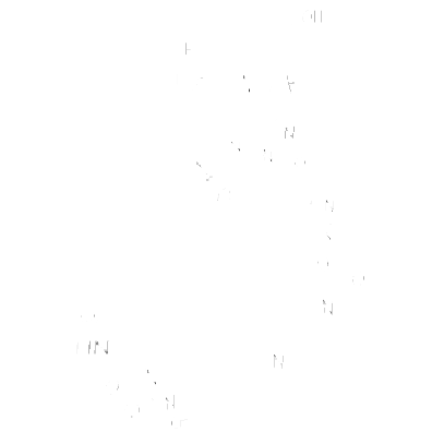 CCc1c(F)ccc2cc(O)cc(-c3ncc4c(N5CCC[C@@]6(CCO6)C5)nc(OC[C@]56CCCN5[C@@H](COC(=O)N5CCC(CN7CCC(c8ccc9c(c8)n(C)c(=O)n9C8CCC(=O)NC8=O)CC7)CC5)CC6)nc4c3F)c12